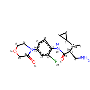 C[As](C1CC1)[C@@H](CN)C(=O)Nc1ccc(N2CCOCC2=O)cc1F